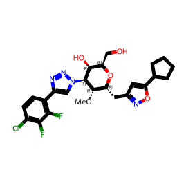 CO[C@@H]1[C@@H](n2cc(-c3ccc(Cl)c(F)c3F)nn2)[C@@H](O)[C@@H](CO)O[C@@H]1Cc1cc(C2CCCC2)on1